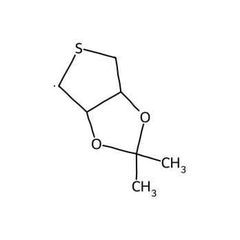 CC1(C)OC2[CH]SCC2O1